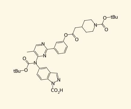 Cc1cnc(-c2cccc(OC(=O)CC3CCN(C(=O)OC(C)(C)C)CC3)c2)nc1N(C(=O)OC(C)(C)C)c1ccc2c(cnn2C(=O)O)c1